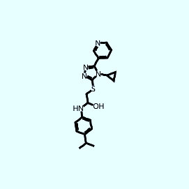 CC(C)c1ccc(NC(O)CSc2nnc(-c3cccnc3)n2C2CC2)cc1